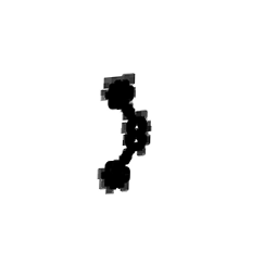 CC1(C)OB(C#Cc2ccc3ccc(C#CB4OC(C)(C)C(C)(C)O4)cc3c2)OC1(C)C